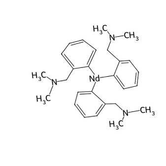 CN(C)Cc1cccc[c]1[Nd]([c]1ccccc1CN(C)C)[c]1ccccc1CN(C)C